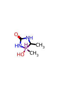 CC1NC(=O)N[PH]1(C)O